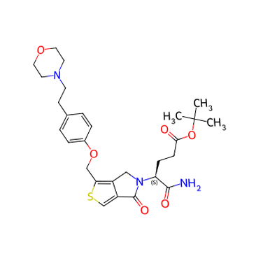 CC(C)(C)OC(=O)CC[C@@H](C(N)=O)N1Cc2c(csc2COc2ccc(CCN3CCOCC3)cc2)C1=O